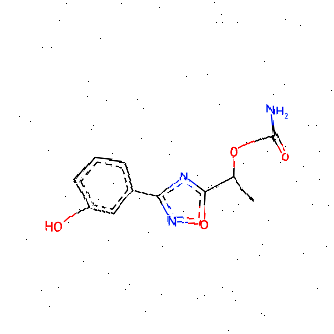 CC(OC(N)=O)c1nc(-c2cccc(O)c2)no1